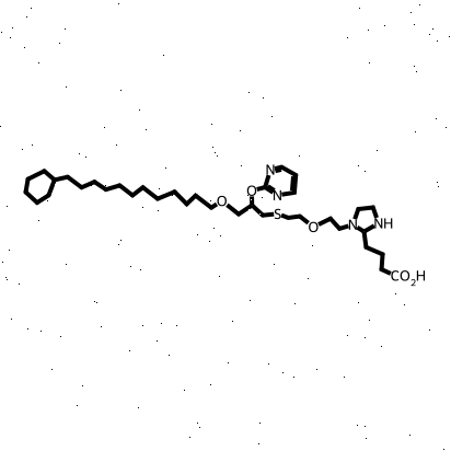 O=C(O)CCCC1NCCN1CCOCCSCC(COCCCCCCCCCCCCC1CCCCC1)Oc1ncccn1